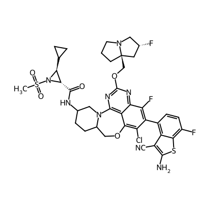 CS(=O)(=O)N1[C@@H](C(=O)NC2CCC3COc4c(Cl)c(-c5ccc(F)c6sc(N)c(C#N)c56)c(F)c5nc(OC[C@@]67CCCN6C[C@H](F)C7)nc(c45)N3C2)[C@@H]1C1CC1